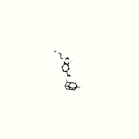 CS(=O)(=O)CCn1cnc2cc(C(=O)NC3C4CC5CC3CC(O)(C5)C4)ccc21